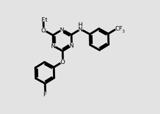 CCOc1nc(Nc2cccc(C(F)(F)F)c2)nc(Oc2cccc(F)c2)n1